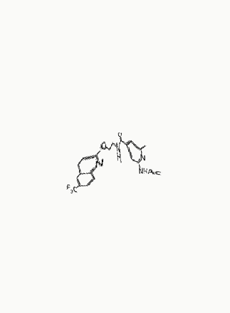 CC(=O)Nc1cc(C(=O)NCCOc2ccc3cc(C(F)(F)F)ccc3n2)cc(C)n1